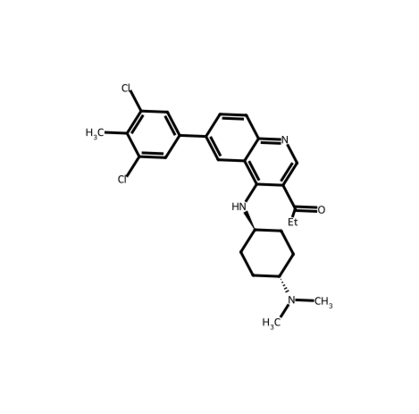 CCC(=O)c1cnc2ccc(-c3cc(Cl)c(C)c(Cl)c3)cc2c1N[C@H]1CC[C@H](N(C)C)CC1